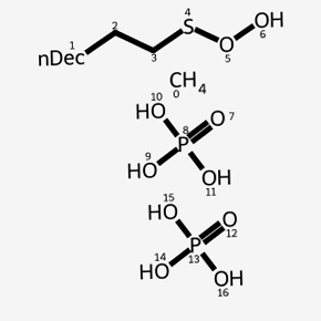 C.CCCCCCCCCCCCSOO.O=P(O)(O)O.O=P(O)(O)O